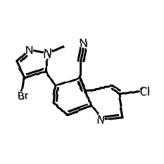 Cn1ncc(Br)c1-c1ccc2ncc(Cl)cc2c1C#N